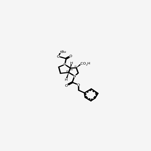 CC(C)(C)OC(=O)N1CC[C@@H]2[C@H]1[C@@H](C(=O)O)CN2C(=O)OCc1ccccc1